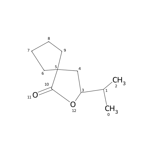 CC(C)C1CC2(CCCC2)C(=O)O1